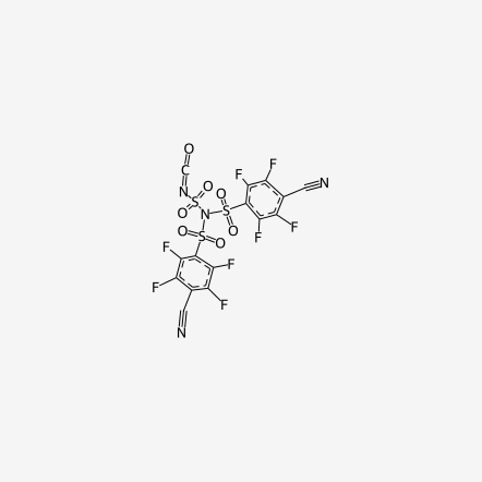 N#Cc1c(F)c(F)c(S(=O)(=O)N(S(=O)(=O)N=C=O)S(=O)(=O)c2c(F)c(F)c(C#N)c(F)c2F)c(F)c1F